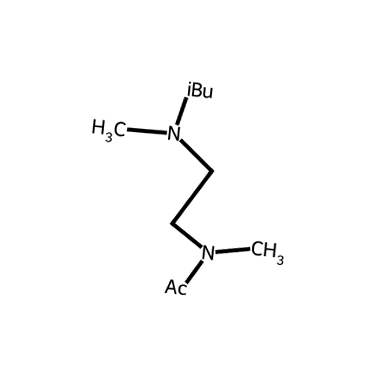 CCC(C)N(C)CCN(C)C(C)=O